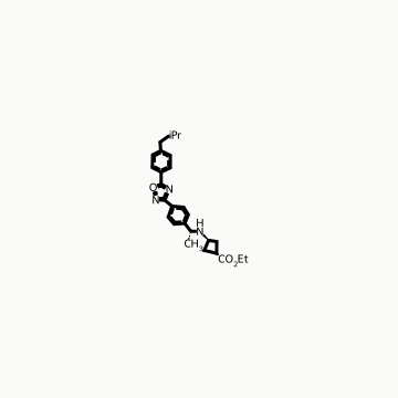 CCOC(=O)[C@H]1C[C@@H](N[C@H](C)c2ccc(-c3noc(-c4ccc(CC(C)C)cc4)n3)cc2)C1